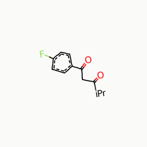 CC(C)C(=O)CC(=O)c1ccc(F)cc1